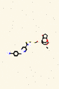 C=C[C@]12C[C@@H](OC(=O)CSc3nc(-c4cc[n+](Cc5ccc(C#N)cc5)cc4)cs3)[C@]3(C)[C@H](C)CCC4(CCC(=O)[C@H]43)[C@@H](C)[C@@H]1O2